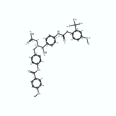 COc1ccc(C(=O)Oc2ccc(CN(CC(=O)O)C(O)c3ccc(NC(=O)Cc4ccc(OC)cc4C(F)(F)F)cc3)cc2)cc1